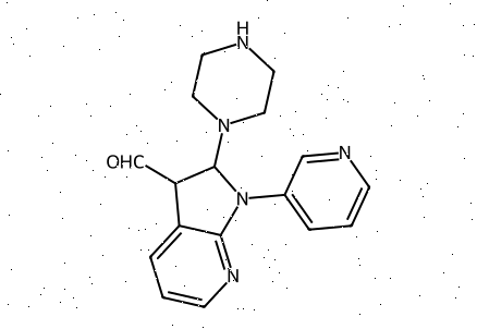 O=CC1c2cccnc2N(c2cccnc2)C1N1CCNCC1